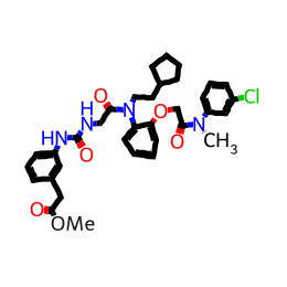 COC(=O)Cc1cccc(NC(=O)NCC(=O)N(CCC2CCCC2)c2ccccc2OCC(=O)N(C)c2cccc(Cl)c2)c1